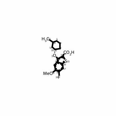 COc1cc2c(O[C@H]3CCCC(C)C3)c(C(=O)O)sc2cc1F